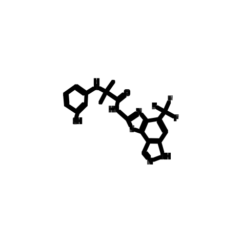 CC(C)(Nc1cccc(S)c1)C(=O)Nc1nc2c(C(F)(F)F)cc3[nH]ncc3c2s1